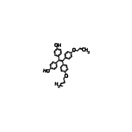 C=CCOc1ccc(C(=C(c2ccc(O)cc2)c2ccc(O)cc2)c2ccc(OCC=C)cc2)cc1